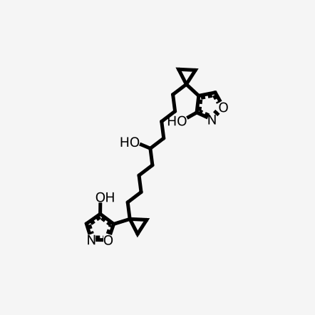 Oc1cnoc1C1(CCCCC(O)CCCCC2(c3conc3O)CC2)CC1